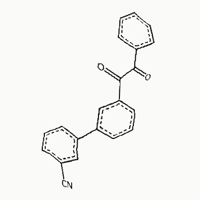 N#Cc1cccc(-c2cccc(C(=O)C(=O)c3ccccc3)c2)c1